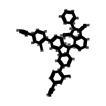 Cc1cc(C#N)ccc1-c1ccc2c(c1)c1cc(-c3ccc(C#N)cc3C)ccc1n2-c1cccc2c1C(=O)N(c1ccccc1)C2=O